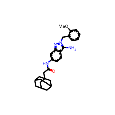 COc1ccccc1Cn1nc2cc(NC(=O)CC34CC5CC(CC(C5)C3)C4)ccc2c1N